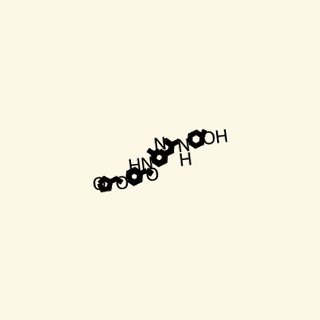 Cc1c(NC(=O)c2ccc(OCC3CCOC3)cc2)ccc2cc(CNC3CCC(C)(O)CC3)cnc12